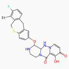 CCc1c(F)ccc2c1CSc1ccc(OC3NCCN4C(=O)c5c(O)c(=O)ccn5NC34)cc1C2